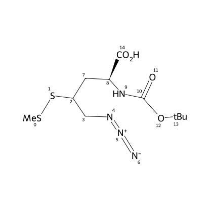 CSSC(CN=[N+]=[N-])C[C@H](NC(=O)OC(C)(C)C)C(=O)O